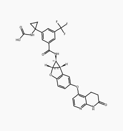 O=C(O)NC1(c2cc(C(=O)N[C@@H]3[C@H]4Oc5ccc(Oc6ccnc7c6CCC(=O)N7)cc5[C@@H]34)cc(C(F)(F)F)c2)CC1